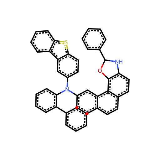 c1ccc(-c2ccccc2N(c2ccc3sc4ccccc4c3c2)c2ccc3ccc4ccc5c(c4c3c2)OC(c2ccccc2)N5)cc1